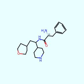 N[C@H](Cc1ccccc1)C(=O)NC(CC1CCOCC1)C1CCNCC1